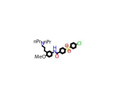 CCCN(CCC)CCCc1cc(NC(=O)c2ccc(S(=O)(=O)c3ccc(Cl)cc3)cc2)ccc1OC